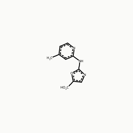 Cc1ccnc(Nc2ncc(C(=O)O)o2)c1